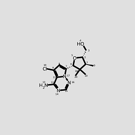 C[C@@H]1[C@@H](CO)O[C@@H](c2cc(Cl)c3c(N)ncnn23)C1(C)C